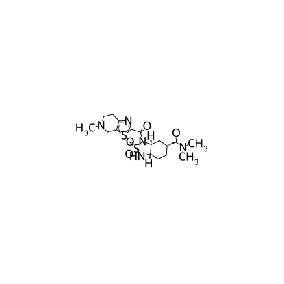 CN1CCc2nc(C(=O)N3[C@@H]4C[C@@H](C(=O)N(C)C)CC[C@@H]4NS3(=O)=O)sc2C1